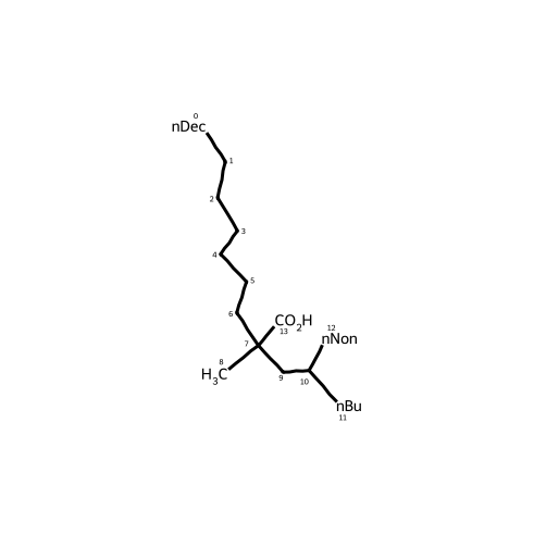 CCCCCCCCCCCCCCCCC(C)(CC(CCCC)CCCCCCCCC)C(=O)O